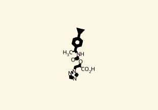 C[C@H](NC(=O)O[C@H](Cn1cncn1)C(=O)O)c1ccc(C2CC2)cc1